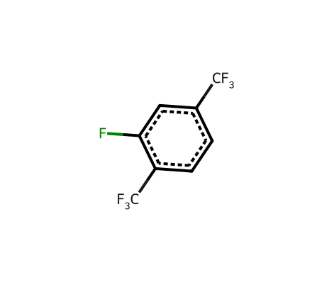 Fc1cc(C(F)(F)F)ccc1C(F)(F)F